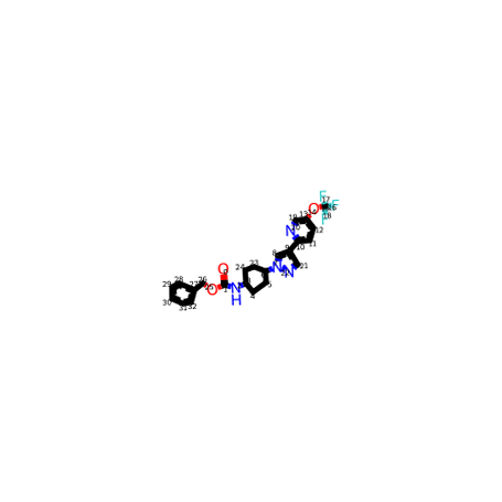 O=C(NC1CCC(n2cc(-c3ccc(OC(F)(F)F)cn3)cn2)CC1)OCc1ccccc1